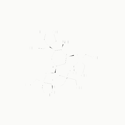 CC[Si](CC)(CC)OC[C@H]1O[C@@H]([Si](CC)(CC)CC)[C@@H](N)[C@@H](O[Si](CC)(CC)CC)[C@@H]1O[Si](CC)(CC)CC